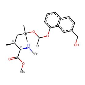 CCC(Oc1cccc2ccc(CO)cc12)O[Si](C)(C)C[C@H](C)[C@@H](NC(C)C)C(=O)OC(C)(C)C